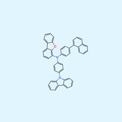 c1ccc2c(-c3ccc(N(c4ccc(-n5c6ccccc6c6ccccc65)cc4)c4cccc5c4oc4ccccc45)cc3)cccc2c1